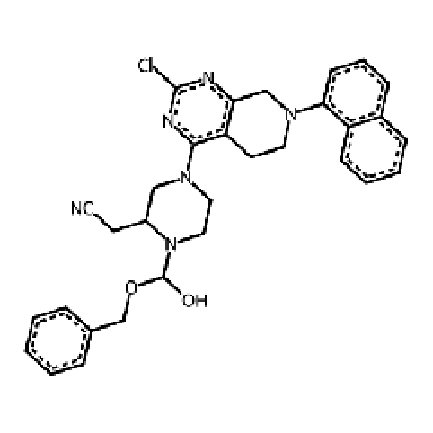 N#CCC1CN(c2nc(Cl)nc3c2CCN(c2cccc4ccccc24)C3)CCN1C(O)OCc1ccccc1